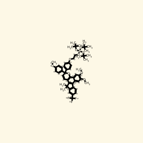 COc1ccc(C2(c3ccc(OCCO[Si](OC(C)(C)C)(OC(C)(C)C)OC(C)(C)C)cc3)C=Cc3c4c(c5cc(OC)c(OC)cc5c3O2)-c2ccc(C(F)(F)F)cc2C4(C)C)cc1